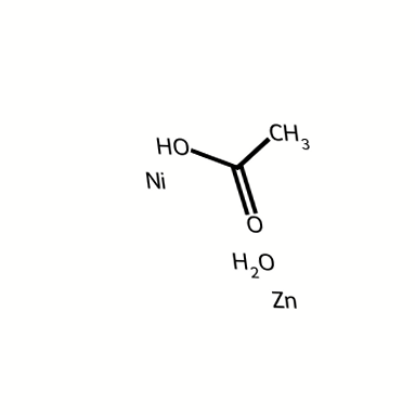 CC(=O)O.O.[Ni].[Zn]